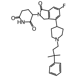 CC(C)(CCN1CCC(c2cc(F)cc3c2CN(C2CCC(=O)NC2=O)C3=O)CC1)c1ccccc1